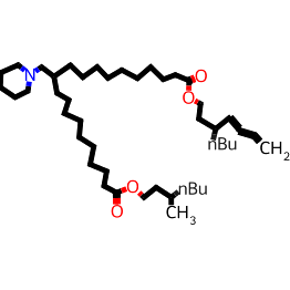 C=C=C=CC(CCCC)CCOC(=O)CCCCCCCCCC(CCCCCCCCCC(=O)OCCC(C)CCCC)CN1CCCCC1